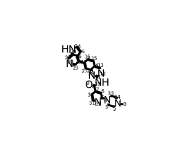 CN1CCN(c2cc(C(=O)Nc3ncc4ccc(-c5cncc6[nH]ccc56)cc4n3)ccn2)CC1